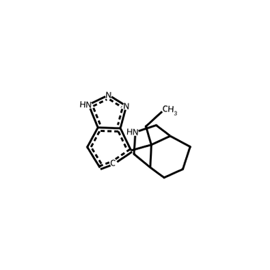 CCC1(c2cccc3[nH]nnc23)C2CCCC1CNC2